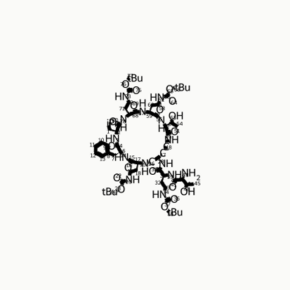 CC(C)C[C@@H]1NC(=O)[C@@H](Cc2ccccc2)NC(=O)[C@H](CCNC(=O)OC(C)(C)C)NC[C@@H](NC(=O)[C@H](CCNC(=O)OC(C)(C)C)NC(=O)[C@@H](N)C(C)O)CCNC(=O)[C@H](C(C)O)NC(=O)[C@H](CCNC(=O)OC(C)(C)C)NC(=O)[C@H](CCNC(=O)OC(C)(C)C)NC1=O